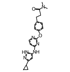 CN(C)C(=O)CCc1ccc(Oc2nccc(Nc3cc(C4CC4)n[nH]3)n2)cc1